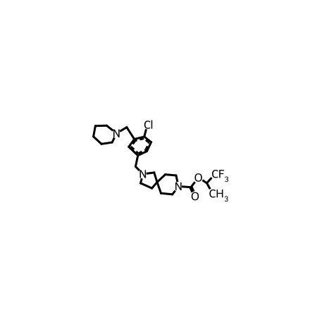 CC(OC(=O)N1CCC2(CCN(Cc3ccc(Cl)c(CN4CCCCC4)c3)C2)CC1)C(F)(F)F